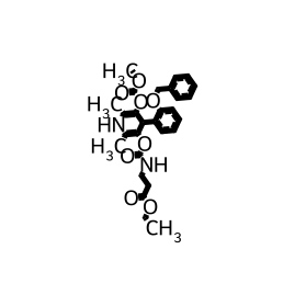 CCOC(=O)CCNC(=O)OC1=C(C)NC(C)=C(OC(=O)OC)C1c1ccccc1OCc1ccccc1